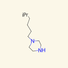 CC(C)CCCCN1CCNCC1